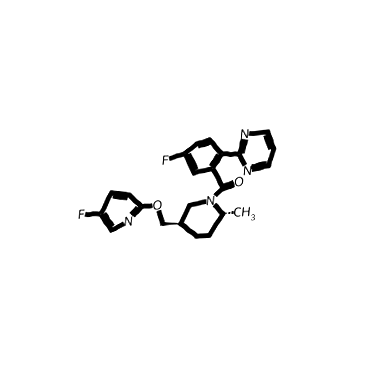 C[C@@H]1CC[C@@H](COc2ccc(F)cn2)CN1C(=O)c1cc(F)ccc1-c1ncccn1